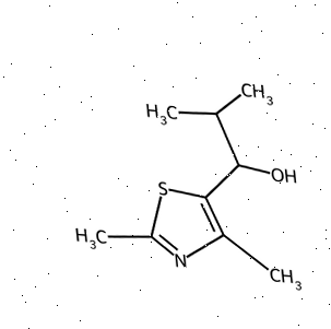 Cc1nc(C)c(C(O)C(C)C)s1